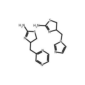 NC1=NC(Cc2cnccn2)CS1.NC1=NC(Cn2ccnc2)CS1